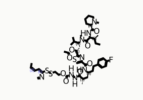 C=N/C(=C\C=C/C)SSCCOC(=O)NNC(=O)[C@@H](C)C[C@H](CCc1ccc(F)cc1)NC(=O)c1csc([C@@H](C[C@H](C(C)C)N(C)C(=O)C(NC(=O)[C@H]2CCCCN2C)[C@@H](C)CC)OC(C)=O)n1